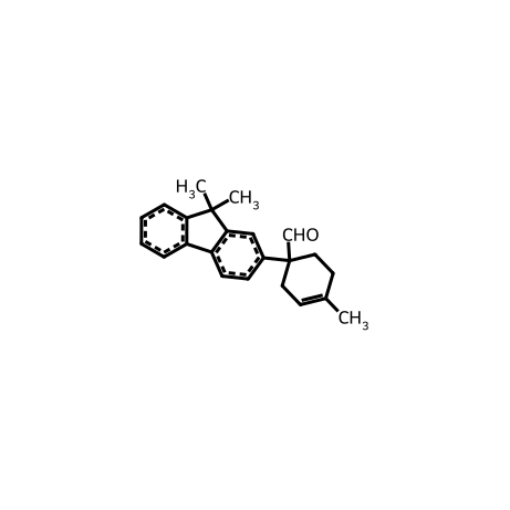 CC1=CCC(C=O)(c2ccc3c(c2)C(C)(C)c2ccccc2-3)CC1